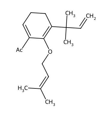 C=CC(C)(C)C1=C(OCC=C(C)C)C(C(C)=O)=CCC1